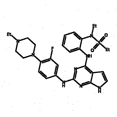 CCN1CCN(c2ccc(Nc3nc(Nc4ccccc4N(CC)S(=O)(=O)CC)c4cc[nH]c4n3)cc2F)CC1